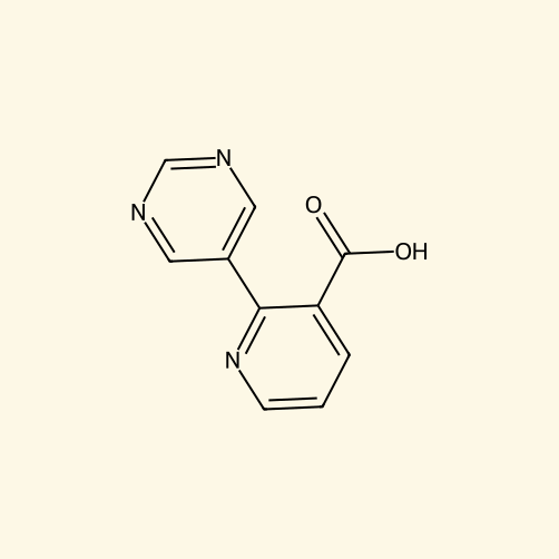 O=C(O)c1cccnc1-c1cncnc1